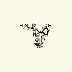 COc1ccc(OC)c(C(O)CNC(=O)CN)c1.O=S(=O)(O)O